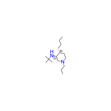 CCCC[C@@H]1CCN(CCC)C[C@H]1NC(C)(C)C